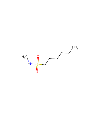 CCCCCCS(=O)(=O)[N]C